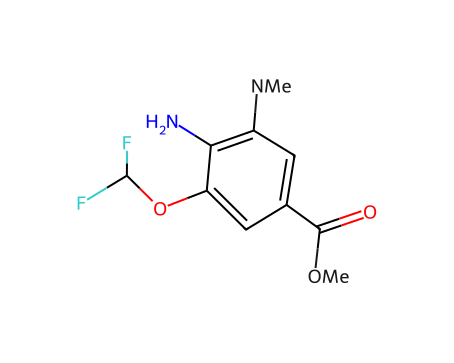 CNc1cc(C(=O)OC)cc(OC(F)F)c1N